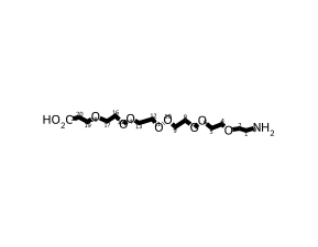 NCCOCCOOCCOOCCOOCCOCCC(=O)O